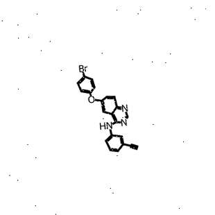 C#Cc1cccc(Nc2ncnc3ccc(Oc4ccc(Br)cc4)cc23)c1